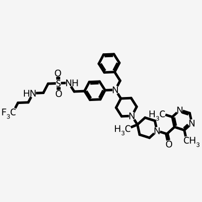 Cc1ncnc(C)c1C(=O)N1CCC(C)(N2CCC(N(Cc3ccccc3)c3ccc(CNS(=O)(=O)CCNCCC(F)(F)F)cc3)CC2)CC1